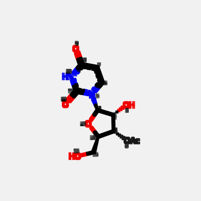 CC(=O)O[C@H]1[C@@H](O)[C@H](n2ccc(=O)[nH]c2=O)O[C@@H]1CO